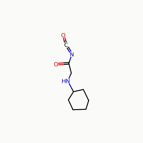 O=C=NC(=O)CNC1CCCCC1